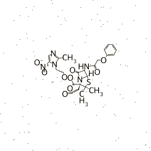 Cc1ncc([N+](=O)[O-])n1CCOOC(=O)[C@]1(C=C=O)N2C(=O)[C@@H](NC(=O)COc3ccccc3)[C@H]2SC1(C)C